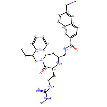 CC[C@H](CN1CC[C@@H](CNC(=O)c2ccc3cc(CI)ccc3c2)N[C@@H](CCNC(=N)NC)C1=O)c1ccccc1